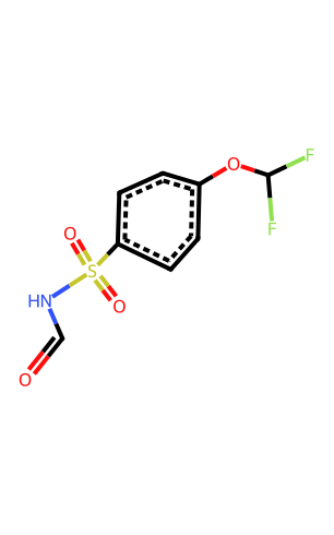 O=CNS(=O)(=O)c1ccc(OC(F)F)cc1